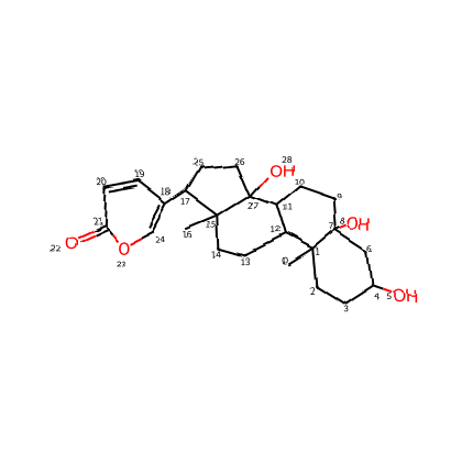 CC12CCC(O)CC1(O)CCC1C2CCC2(C)C(c3ccc(=O)oc3)CCC12O